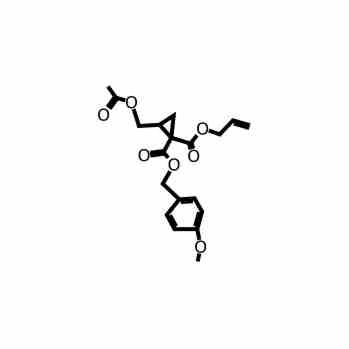 C=CCOC(=O)C1(C(=O)OCc2ccc(OC)cc2)CC1COC(C)=O